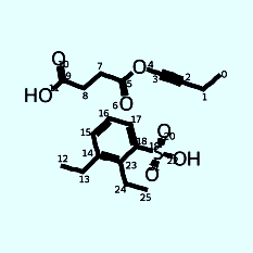 CCC#COC(=O)CCC(=O)O.CCc1cccc(S(=O)(=O)O)c1CC